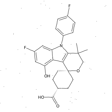 CC1(C)CO[C@]2(CC[C@@H](C(=O)O)CC2)c2c1n(-c1ccc(F)cc1)c1cc(F)cc(O)c12